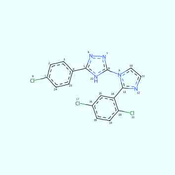 Clc1ccc(-c2nnc(-n3ccnc3-c3cc(Cl)ccc3Cl)[nH]2)cc1